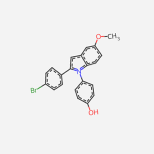 COc1ccc2c(c1)cc(-c1ccc(Br)cc1)n2-c1ccc(O)cc1